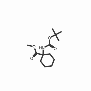 COC(=O)C1(NC(=O)OC(C)(C)C)CCCCC1